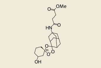 COC(=O)CCC(=O)NC12CC3CC(C1)C1(OO[C@@]4(CCCC(O)C4)O1)C(C3)C2